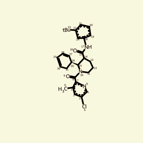 Cc1cc(Cl)cnc1C(=O)N1CCCC(C(=O)Nc2cccc(C(C)(C)C)c2)C1[C@@H]1C=CC=CC1